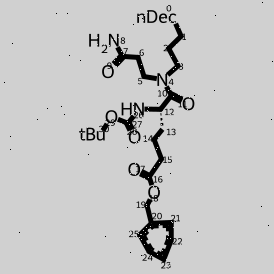 CCCCCCCCCCCCCN(CCC(N)=O)C(=O)[C@H](CCCC(=O)OCc1ccccc1)NC(=O)OC(C)(C)C